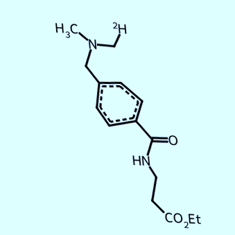 [2H]CN(C)Cc1ccc(C(=O)NCCC(=O)OCC)cc1